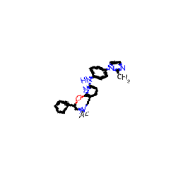 CC(=O)N1Cc2ccc(Nc3ccc(-n4ccnc4C)cc3)nc2OC(c2ccccc2)C1